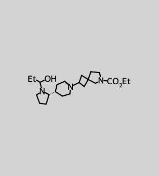 CCOC(=O)N1CCC2(CC(N3CCC([C@@H]4CCCN4C(O)CC)CC3)C2)C1